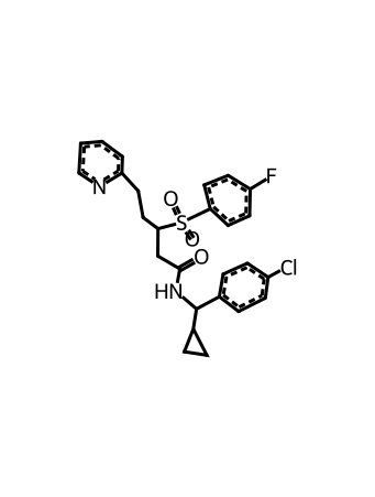 O=C(CC(CCc1ccccn1)S(=O)(=O)c1ccc(F)cc1)NC(c1ccc(Cl)cc1)C1CC1